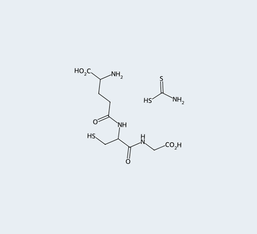 NC(=S)S.NC(CCC(=O)NC(CS)C(=O)NCC(=O)O)C(=O)O